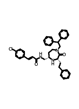 O=C(C=Cc1ccc(Cl)cc1)NC[C@@H]1CCN(CC(c2ccccc2)c2ccccc2)C(=O)[C@H](CCc2ccccc2)N1